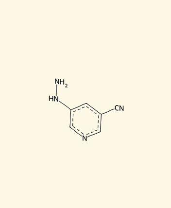 N#Cc1cncc(NN)c1